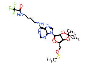 CSOC[C@H]1O[C@@H](n2cnc3c(NCCCCNC(=O)C(F)(F)F)ncnc32)C2OC(C)(C)OC21